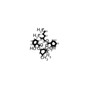 CC1CC(OC(=O)c2ccccc2O)CC(C)(C)C1.CCCCC(CC)COC(=O)c1ccccc1O